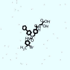 Cc1ccc(NC(=O)N(Cc2ccc(C(=O)NC[C@@H](O)C(=O)O)cc2)c2ccc(C3=CCCCC3)cc2)cc1Br